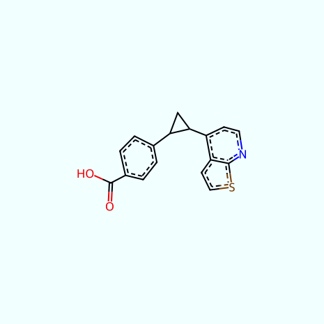 O=C(O)c1ccc(C2CC2c2ccnc3sccc23)cc1